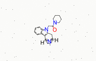 CN1[C@@H]2CC[C@H]1c1c(n(CC(=O)N3CCCCC3)c3ccccc13)C2